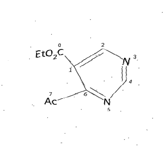 CCOC(=O)c1cncnc1C(C)=O